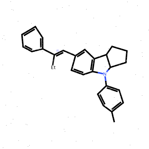 CC/C(=C\c1ccc2c(c1)C1CCCC1N2c1ccc(C)cc1)c1ccccc1